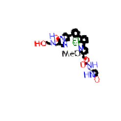 COc1nc(-c2cccc(-c3cccc(-c4ccn5c(=O)c(CNCCO)cnc5c4)c3Cl)c2Cl)ccc1COC(=O)NC[C@@H]1CCC(=O)N1